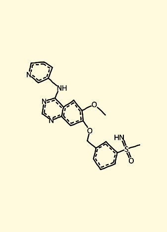 COc1cc2c(Nc3cccnc3)ncnc2cc1OCc1cccc(S(C)(=N)=O)c1